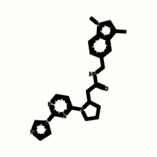 Cc1cn(C)c2ccc(CNC(=O)CC3CCCN3c3ccnc(-n4ccnc4)n3)cc12